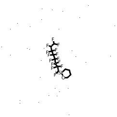 FC(F)C(F)C(F)(F)C(F)(F)C(F)(F)C(F)(F)C(F)(F)C(F)[SiH]1CCCCO1